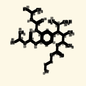 CC(C)CCOC(=O)OC(C)C(C)C(c1ccc(OC(=O)OC(C)C(C)C)c(OC(=O)OC(C)C(C)C)c1)[C@H](N)C(=O)O